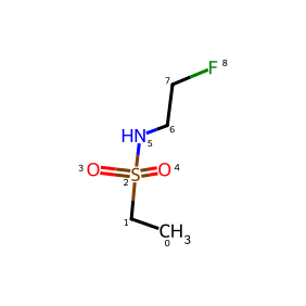 CCS(=O)(=O)NCCF